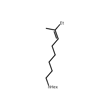 CCCCCCCCCCCC=C(C)CC